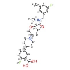 O=C(NCc1cc(F)cc(C(F)(F)F)c1)[C@@]1(C2CC2)CC[C@@H](N2CCC(c3ccc(F)c(C(O)O)c3)CC2)CO1